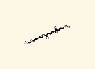 CNCCCC(=O)NCCCC(=O)NCCOCCOCC(C)=O